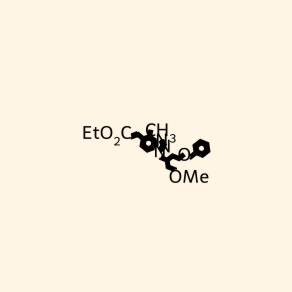 CCOC(=O)/C=C/c1ccc2c(nnn2CC(CCOC)CCOCc2ccccc2)c1C